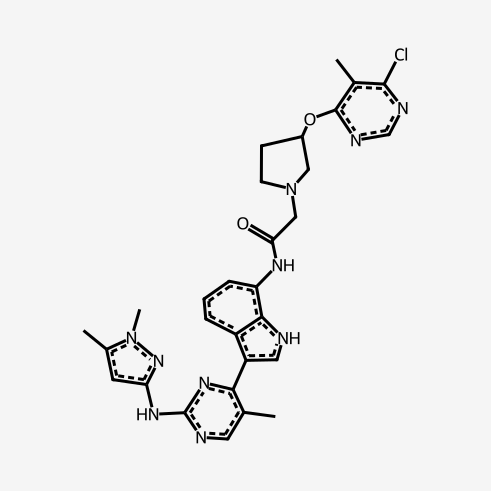 Cc1cnc(Nc2cc(C)n(C)n2)nc1-c1c[nH]c2c(NC(=O)CN3CCC(Oc4ncnc(Cl)c4C)C3)cccc12